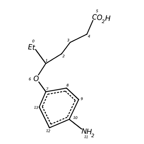 CCC(CCCC(=O)O)Oc1ccc(N)cc1